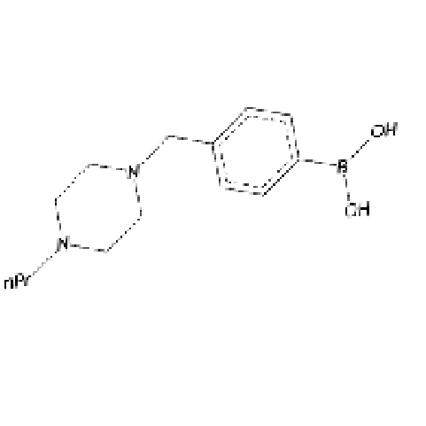 CCCN1CCN(Cc2ccc(B(O)O)cc2)CC1